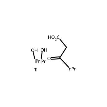 CC(C)O.CC(C)O.CCCC(=O)CC(=O)O.[Ti]